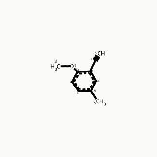 C#Cc1cc(C)ccc1OC